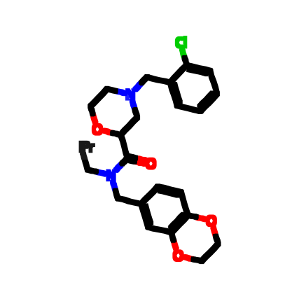 CC(C)CN(Cc1ccc2c(c1)OCCO2)C(=O)C1CN(Cc2ccccc2Cl)CCO1